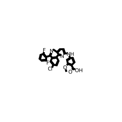 COc1cc(Nc2ccc3c(n2)-c2ccc(Cl)cc2C(c2c(F)cccc2F)=NC3)ccc1C(=O)O